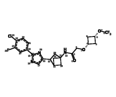 O=C(CO[C@H]1C[C@@H](OC(F)(F)F)C1)NC12CC(C1)C(c1cnn(-c3ccc(Cl)c(F)c3)n1)C2